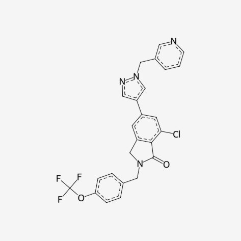 O=C1c2c(Cl)cc(-c3cnn(Cc4cccnc4)c3)cc2CN1Cc1ccc(OC(F)(F)F)cc1